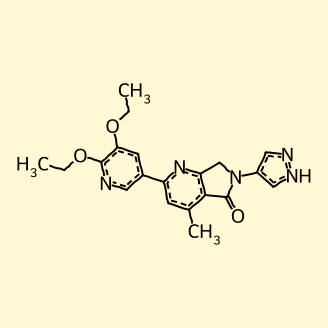 CCOc1cc(-c2cc(C)c3c(n2)CN(c2cn[nH]c2)C3=O)cnc1OCC